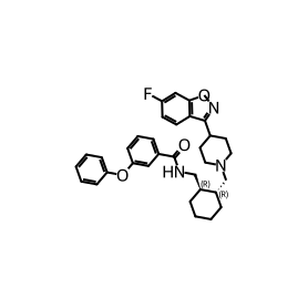 O=C(NC[C@@H]1CCCC[C@H]1CN1CCC(c2noc3cc(F)ccc23)CC1)c1cccc(Oc2ccccc2)c1